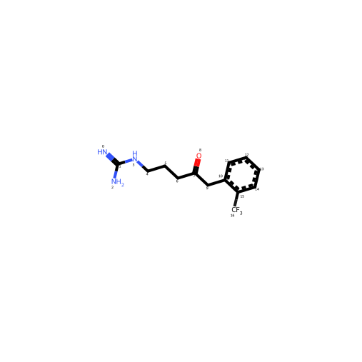 N=C(N)NCCCC(=O)Cc1ccccc1C(F)(F)F